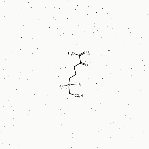 C=C(C)C(=O)CCC[N+](C)(C)CC(=O)O